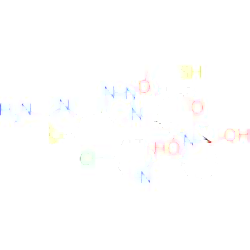 CO[C@@H]1[C@H](S)O[C@@H](CO)[C@@H](O)[C@@]1(c1cc(Cl)cnc1-c1ccccn1)n1cc(-c2csc(N)n2)nn1